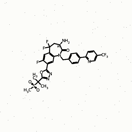 CC(C)(c1nnc(-c2cc3c(cc2F)C(F)(F)C[C@@H](N)C(=O)N3Cc2ccc(-c3ccc(C(F)(F)F)cn3)cc2)o1)S(C)(=O)=O